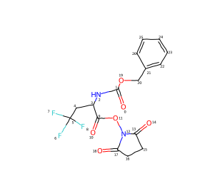 O=C(NC(CC(F)(F)F)C(=O)ON1C(=O)CCC1=O)OCc1ccccc1